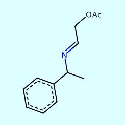 CC(=O)OCC=NC(C)c1ccccc1